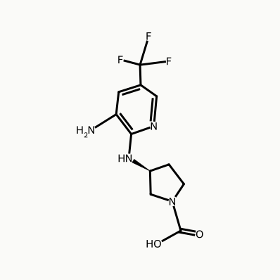 Nc1cc(C(F)(F)F)cnc1N[C@H]1CCN(C(=O)O)C1